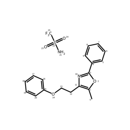 Cc1oc(-c2ccccc2)nc1CCOc1ccccc1.NS(=O)(=O)C(F)(F)F